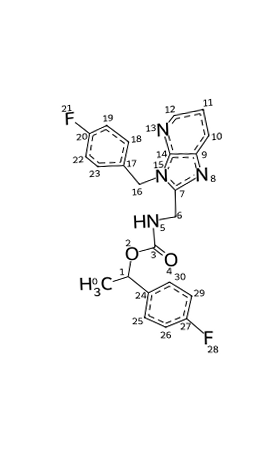 CC(OC(=O)NCc1nc2cccnc2n1Cc1ccc(F)cc1)c1ccc(F)cc1